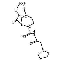 N=C(NC(=O)CN1CCCC1)[C@H]1CC[C@@H]2CN1C(=O)N2OS(=O)(=O)O